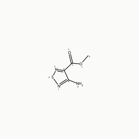 COC(=O)c1nsnc1N